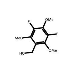 COc1c(F)c(OC)c(CO)c(OC)c1F